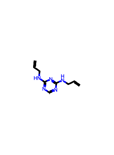 C=CCNc1n[c]nc(NCC=C)n1